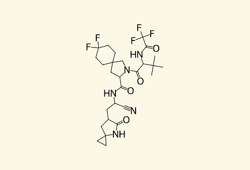 CC(C)(C)C(NC(=O)C(F)(F)F)C(=O)N1CC2(CCC(F)(F)CC2)CC1C(=O)NC(C#N)CC1CC2(CC2)NC1=O